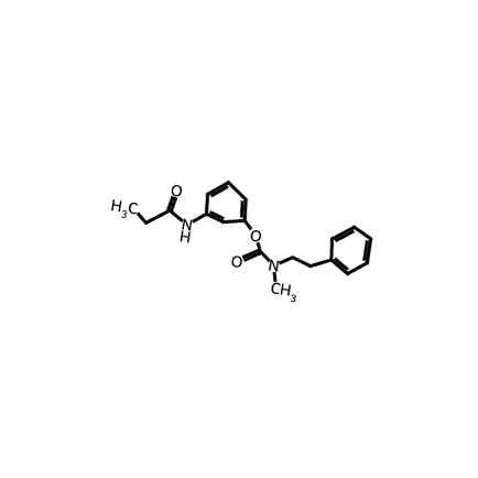 CCC(=O)Nc1cccc(OC(=O)N(C)CCc2ccccc2)c1